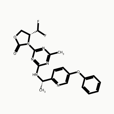 Cc1nc(N[C@@H](C)c2ccc(Oc3ccccc3)cn2)nc(N2C(=O)OC[C@@H]2C(F)F)n1